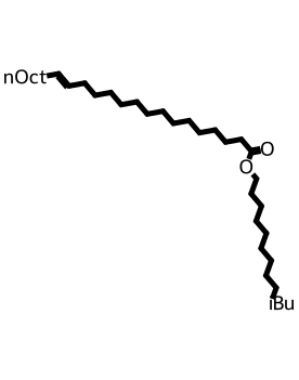 CCCCCCCCC=CCCCCCCCCCCCCCC(=O)OCCCCCCCCCC(C)CC